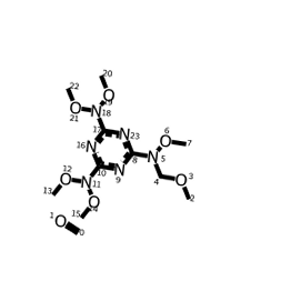 C=O.COCN(OC)c1nc(N(OC)OC)nc(N(OC)OC)n1